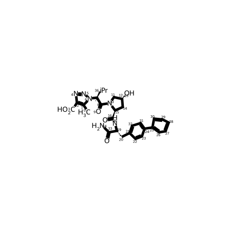 Cc1c(C(=O)O)nnn1[C@H](C(=O)N1C[C@H](O)C[C@H]1C(=O)N[C@H](Cc1ccc(-c2ccccc2)cc1)C(N)=O)C(C)C